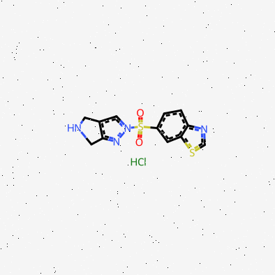 Cl.O=S(=O)(c1ccc2ncsc2c1)n1cc2c(n1)CNC2